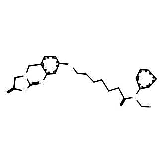 O=C(O)CN(C(=O)CCCCCCOc1ccc2c(c1)N=C1NC(=O)CN1C2)c1ccccc1